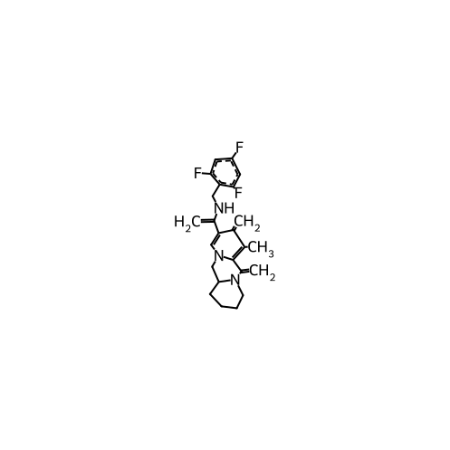 C=C(NCc1c(F)cc(F)cc1F)C1=CN2CC3CCCCN3C(=C)C2=C(C)C1=C